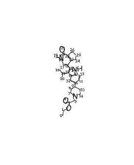 CCOC(=O)CN1CCC(c2ccc3[nH]c(-c4cn(C)c(=O)c5c4CCC5)c(C(C)C)c3c2)CC1